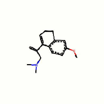 C=C(CN(C)C)C1=CCCc2cc(OC)ccc21